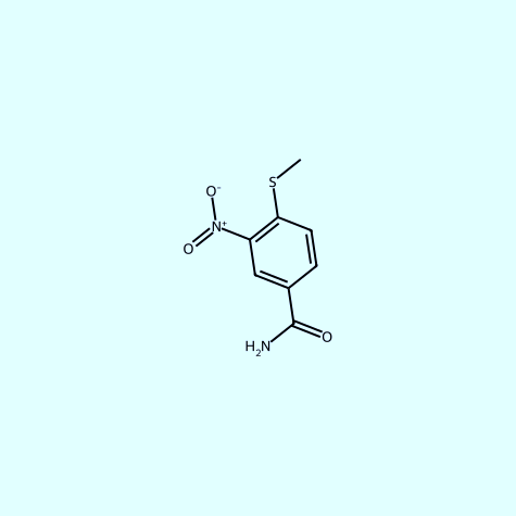 CSc1ccc(C(N)=O)cc1[N+](=O)[O-]